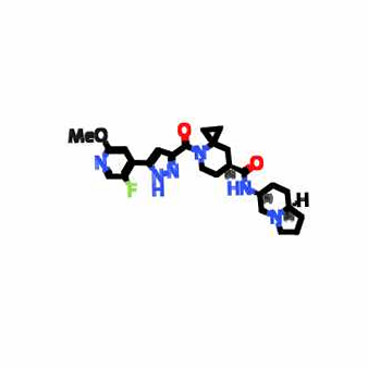 COc1cc(-c2cc(C(=O)N3CC[C@H](C(=O)N[C@H]4CC[C@H]5CCCN5C4)CC34CC4)n[nH]2)c(F)cn1